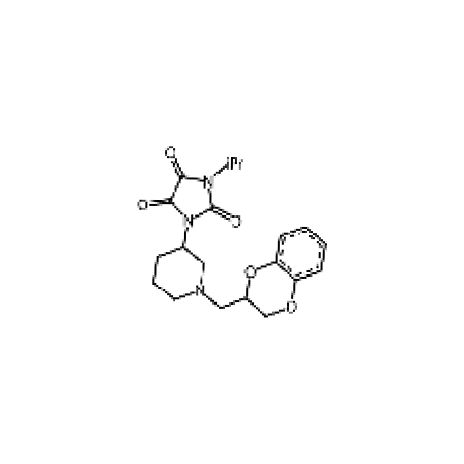 CC(C)N1C(=O)C(=O)N(C2CCCN(CC3COc4ccccc4O3)C2)C1=O